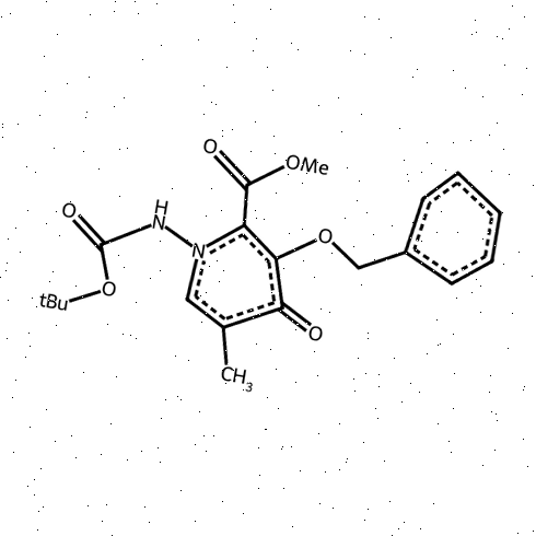 COC(=O)c1c(OCc2ccccc2)c(=O)c(C)cn1NC(=O)OC(C)(C)C